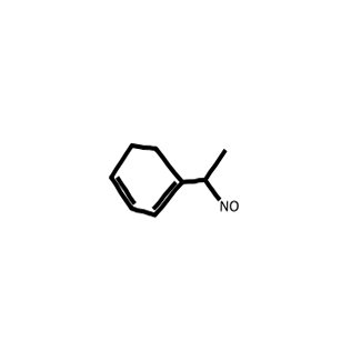 CC(N=O)C1=CC=CCC1